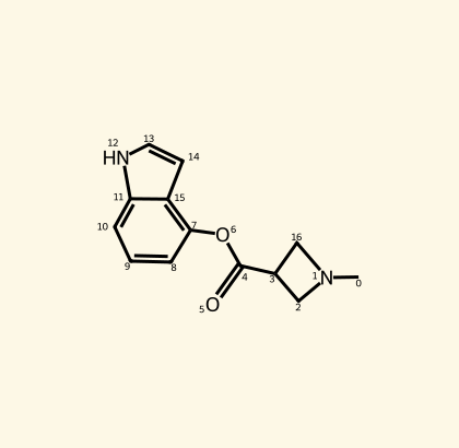 CN1CC(C(=O)Oc2cccc3[nH]ccc23)C1